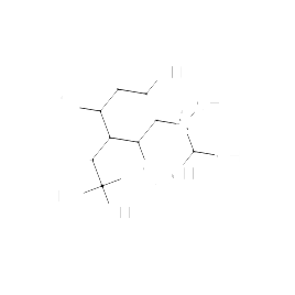 CCCC(C)C(CC(C)(C)C)C(C)CN(C)C(C)C